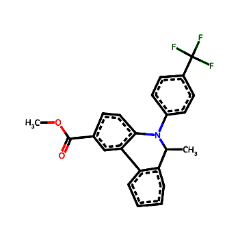 COC(=O)c1ccc2c(c1)-c1ccccc1C(C)N2c1ccc(C(F)(F)F)cc1